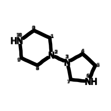 C1CN(N2CCNC2)CCN1